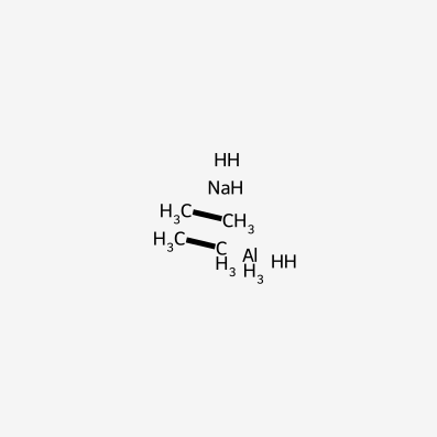 CC.CC.[AlH3].[HH].[HH].[NaH]